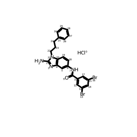 Cl.Nc1nc2cc(NC(=O)c3cc(Br)cc(Br)c3)ccc2n1CCCc1ccccc1